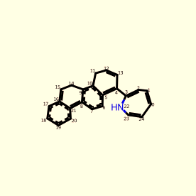 C1=CC=C(C2=c3ccc4c(c3CC=C2)CC=c2ccccc2=4)NC=C1